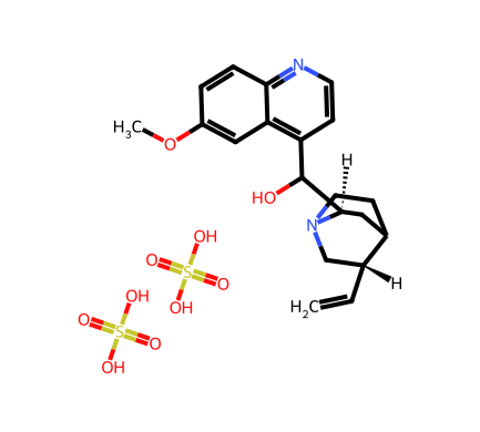 C=C[C@@H]1CN2CCC1C[C@@H]2C(O)c1ccnc2ccc(OC)cc12.O=S(=O)(O)O.O=S(=O)(O)O